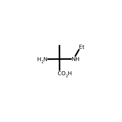 CCNC(C)(N)C(=O)O